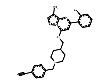 Bc1cnn2c(NCC3CCN(Cc4ccc(C#N)cc4)CC3)cc(-c3ccccc3Cl)nc12